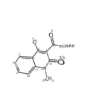 COC(=O)c1c(Cl)c2ccccc2n(C)c1=O